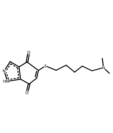 CN(C)CCCCCSC1=CC(=O)c2[nH]ncc2C1=O